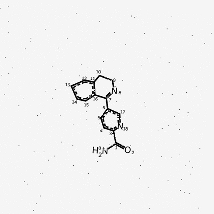 NC(=O)c1ccc(C2=NCCc3ccccc32)cn1